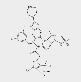 Cn1nc(NS(C)(=O)=O)c2cccc(-c3cc4sc(N5CCNCC5)nc4nc3[C@H](Cc3cc(F)cc(F)c3)NC(=O)Cn3nc(C(F)(F)F)c4c3C(F)(F)[C@@H]3CC43)c21